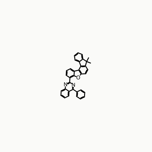 CC1(C)c2ccccc2-c2c1ccc1oc3c(-c4nc(-c5ccccc5)c5ccccc5n4)cccc3c21